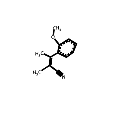 COc1ccccc1C(C)=C(C)C#N